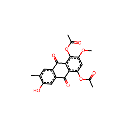 COc1cc(OC(C)=O)c2c(c1OC(C)=O)C(=O)c1cc(C)c(O)cc1C2=O